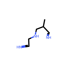 CC(C=N)CNCC=N